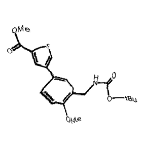 COC(=O)c1cc(-c2ccc(OC)c(CNC(=O)OC(C)(C)C)c2)cs1